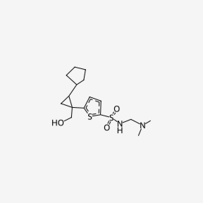 CN(C)CNS(=O)(=O)c1ccc(C2(CO)CC2C2CCCC2)s1